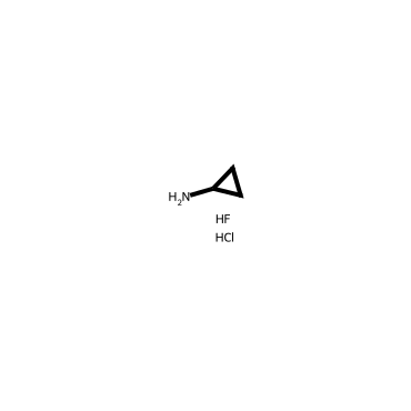 Cl.F.NC1CC1